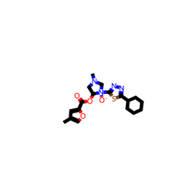 Cc1coc(C(=O)OC2CN(C)C[N+]2([O-])c2nnc(C3CCCCC3)s2)c1